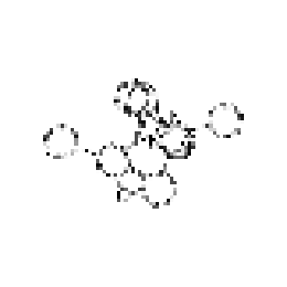 c1ccc(-c2cc(-n3c4ccccc4c4ccccc43)c3c(c2)oc2cccc(-c4nc(-c5ccccc5)nc(-c5ccccc5)n4)c23)cc1